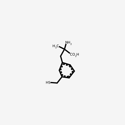 CC(N)(Cc1cccc(CS)c1)C(=O)O